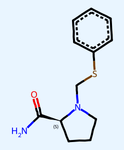 NC(=O)[C@@H]1CCCN1CSc1ccccc1